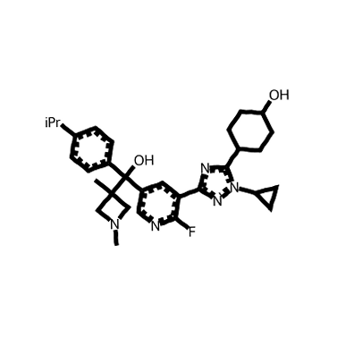 CC(C)c1ccc(C(O)(c2cnc(F)c(-c3nc(C4CCC(O)CC4)n(C4CC4)n3)c2)C2(C)CN(C)C2)cc1